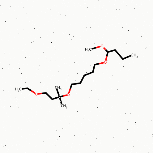 CCCC(OC)OCCCCCOC(C)(C)CCOCC